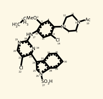 CC.COc1cc(N2CCN(C(C)=O)CC2)c(Cl)cc1Nc1ncc(Cl)c(-c2cn(S(=O)(=O)O)c3ccccc23)n1